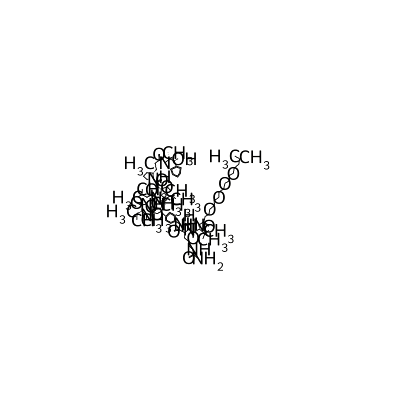 CC[C@H](C)[C@@H]([C@@H](CC(=O)N1CCC[C@H]1C[C@@H](C)C(=O)N[C@H](C)[C@@H](O)c1ccccc1)OC)N(C)C(=O)[C@@H](NC(=O)[C@H](C(C)C)N(C)C(=O)OCc1ccc(NC(=O)[C@H](CCCNC(N)=O)NC(=O)[C@@H](NC(=O)CCOCCOCCOCCOCCC(C)C)C(C)C)cc1)C(C)C